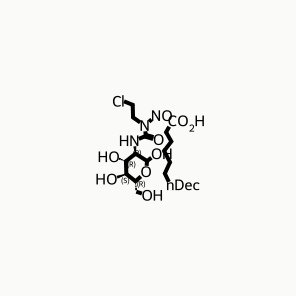 CCCCCCCCCCCCCCCC(=O)O.O=NN(CCCl)C(=O)N[C@H]1C(O)O[C@H](CO)[C@@H](O)[C@@H]1O